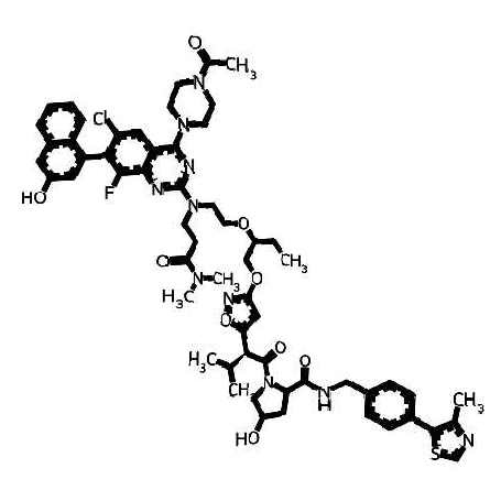 CCC(COc1cc([C@@H](C(=O)N2CC(O)CC2C(=O)NCc2ccc(-c3scnc3C)cc2)C(C)C)on1)OCCN(CCC(=O)N(C)C)c1nc(N2CCN(C(C)=O)CC2)c2cc(Cl)c(-c3cc(O)cc4ccccc34)c(F)c2n1